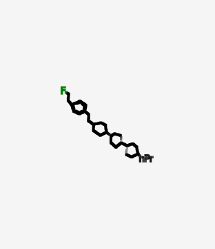 CCC[C@H]1CC[C@H]([C@H]2CC[C@H](C3CCC(CCc4ccc(CCF)cc4)CC3)CC2)CC1